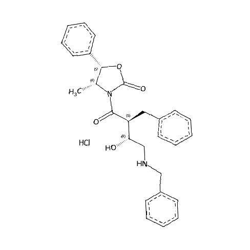 C[C@@H]1[C@H](c2ccccc2)OC(=O)N1C(=O)[C@@H](Cc1ccccc1)[C@@H](O)CNCc1ccccc1.Cl